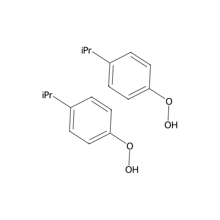 CC(C)c1ccc(OO)cc1.CC(C)c1ccc(OO)cc1